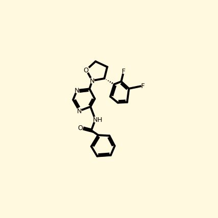 O=C(Nc1cc(N2OCC[C@@H]2c2cccc(F)c2F)ncn1)c1ccccc1